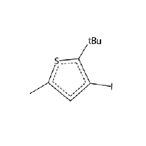 Cc1cc(I)c(C(C)(C)C)s1